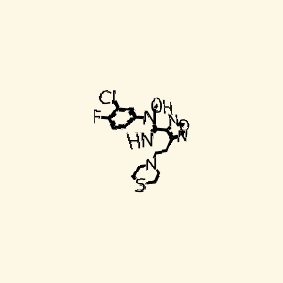 N=C(c1nonc1CCN1CCSCC1)N(O)c1ccc(F)c(Cl)c1